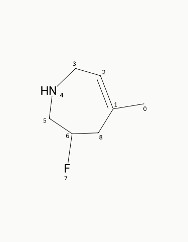 CC1=CCNCC(F)C1